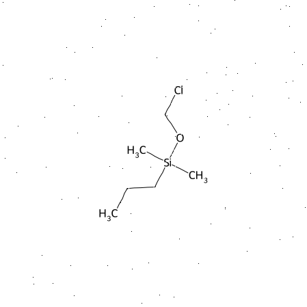 CCC[Si](C)(C)OCCl